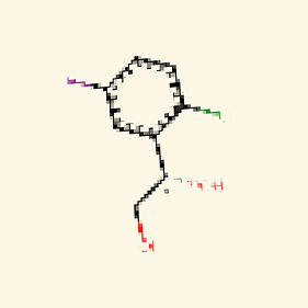 OC[C@@H](O)c1cc(I)ccc1Cl